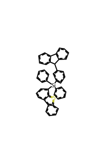 c1ccc([Si](c2ccccc2)(c2cccc(C3c4ccccc4-c4ccccc43)c2)c2cccc3c2sc2ccccc23)cc1